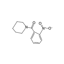 O=C(c1ccccc1[N+](=O)[O-])N1CCCCC1